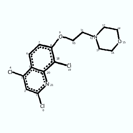 Clc1cc(Cl)c2ccc(OCCN3CCOCC3)c(Cl)c2n1